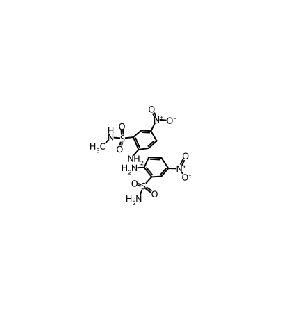 CNS(=O)(=O)c1cc([N+](=O)[O-])ccc1N.Nc1ccc([N+](=O)[O-])cc1S(N)(=O)=O